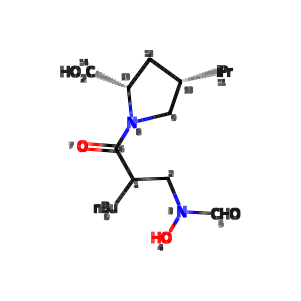 CCCCC(CN(O)C=O)C(=O)N1C[C@@H](C(C)C)C[C@H]1C(=O)O